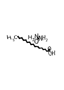 CCCCCCCCCCCCCCCCCC(=O)O.NC(N)=O